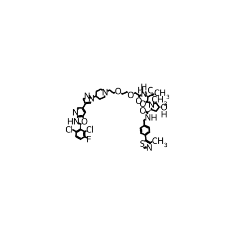 Cc1ncsc1-c1ccc(CNC(=O)[C@@H]2C[C@@H](O)CN2C(=O)[C@@H](NC(=O)COCCOCCN2CCC(n3cc(-c4cnc5c(c4)O[C@@H](c4c(Cl)ccc(F)c4Cl)N5)cn3)CC2)C(C)(C)C)cc1